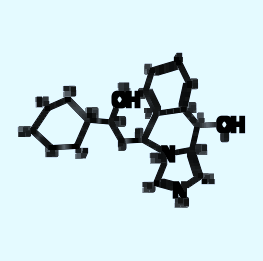 OC1c2ccccc2C(CC(O)C2CCCCC2)n2cncc21